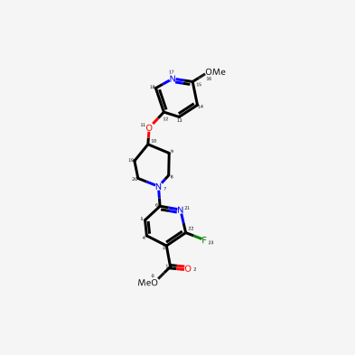 COC(=O)c1ccc(N2CCC(Oc3ccc(OC)nc3)CC2)nc1F